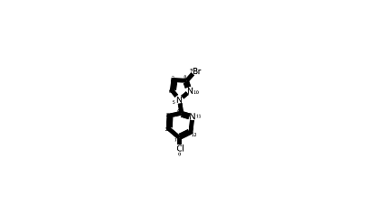 Clc1ccc(-n2ccc(Br)n2)nc1